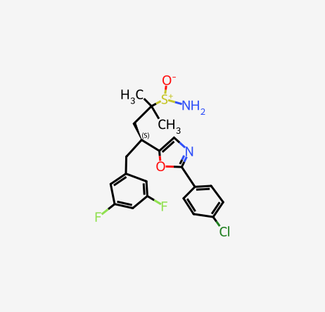 CC(C)(C[C@H](Cc1cc(F)cc(F)c1)c1cnc(-c2ccc(Cl)cc2)o1)[S+](N)[O-]